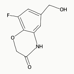 O=C1COc2c(F)cc(CO)cc2N1